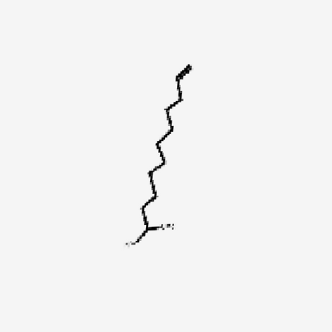 C=CCCCCCCCCC(CCC)OC(C)=O